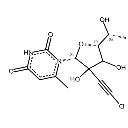 Cc1cc(=O)[nH]c(=O)n1[C@@H]1O[C@H]([C@@H](C)O)C(O)C1(O)C#CCl